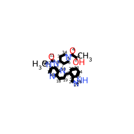 C[C@H](O)C(=O)N1CCC(n2c(=O)n(C)c3cnc4ccc(-c5cccc6[nH]ncc56)nc4c32)CC1